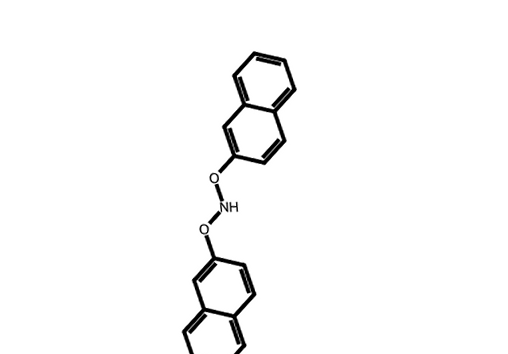 c1ccc2cc(ONOc3ccc4ccccc4c3)ccc2c1